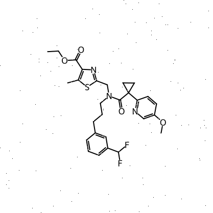 CCOC(=O)c1nc(CN(CCCc2cccc(C(F)F)c2)C(=O)C2(c3ccc(OC)cn3)CC2)sc1C